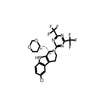 FC(F)(F)c1nc(N2CCc3c([nH]c4ccc(Cl)cc34)[C@@H]2C[C@@H]2CCOCO2)nc(C(F)(F)F)n1